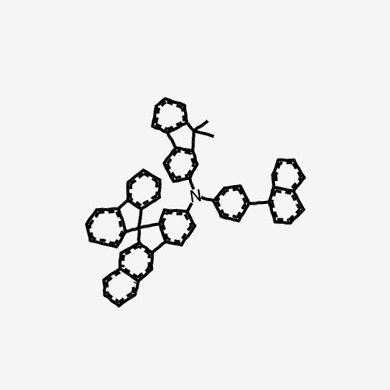 CC1(C)c2ccccc2-c2ccc(N(c3ccc(-c4cccc5ccccc45)cc3)c3ccc4c(c3)C3(c5ccccc5-c5ccccc53)c3cc5ccccc5cc3-4)cc21